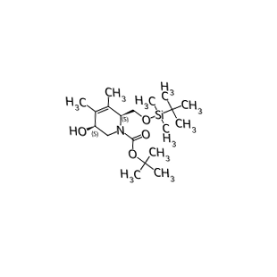 CC1=C(C)[C@@H](CO[Si](C)(C)C(C)(C)C)N(C(=O)OC(C)(C)C)C[C@H]1O